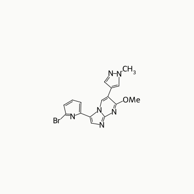 COc1nc2ncc(-c3cccc(Br)n3)n2cc1-c1cnn(C)c1